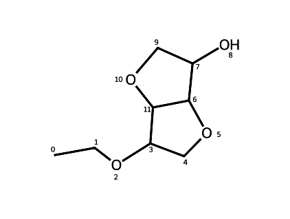 CCOC1COC2C(O)COC12